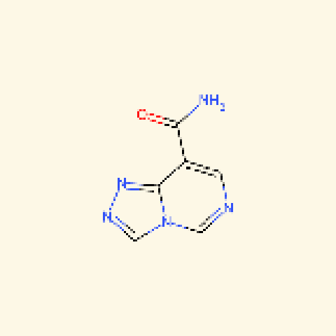 NC(=O)c1cncn2cnnc12